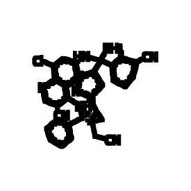 BC(Nc1cc(Cl)c2ncc(C#N)c(N[C@H](CCC#N)c3ccccc3)c2c1)(c1cn(C2CC2)nn1)c1cccc(C#N)c1C